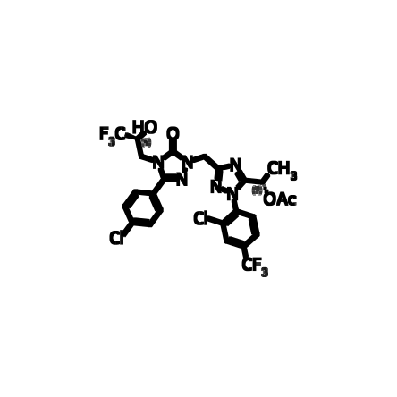 CC(=O)O[C@@H](C)c1nc(Cn2nc(-c3ccc(Cl)cc3)n(C[C@H](O)C(F)(F)F)c2=O)nn1-c1ccc(C(F)(F)F)cc1Cl